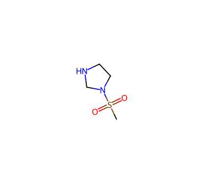 CS(=O)(=O)N1CCNC1